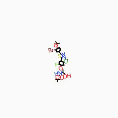 CC(C)Oc1ccc(-c2nnc(-c3cc(F)c(OCC(CO)NC(=O)OC(C)(C)C)cc3Cl)s2)cc1Br